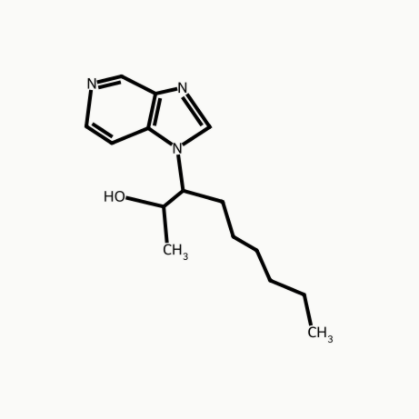 CCCCCCC(C(C)O)n1cnc2cnccc21